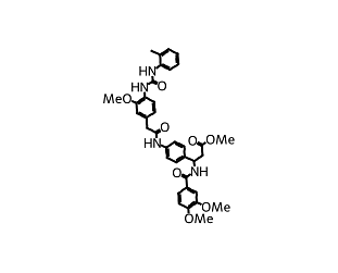 COC(=O)CC(NC(=O)c1ccc(OC)c(OC)c1)c1ccc(NC(=O)Cc2ccc(NC(=O)Nc3ccccc3C)c(OC)c2)cc1